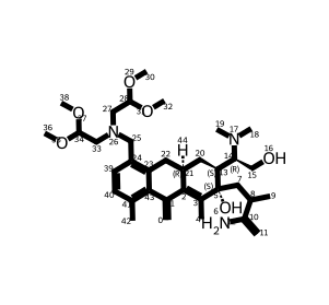 C=C1C2=C(C)[C@](O)(CC(C)C(=C)N)[C@H]([C@H](CO)N(C)C)C[C@@H]2Cc2c(CN(CC(OC)OC)CC(OC)OC)ccc(C)c21